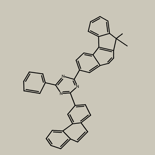 CC1(C)c2ccccc2-c2c1ccc1cc(-c3nc(-c4ccccc4)nc(-c4ccc5ccc6ccccc6c5c4)n3)ccc21